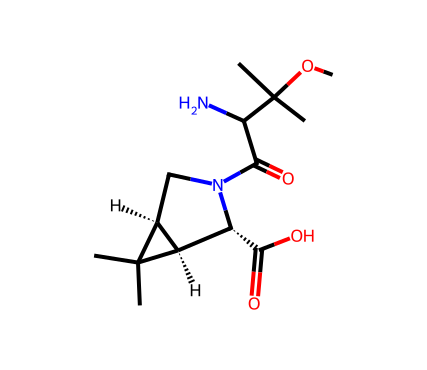 COC(C)(C)C(N)C(=O)N1C[C@H]2[C@@H]([C@H]1C(=O)O)C2(C)C